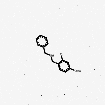 CC(C)COc1ccc(CNCc2ccccc2)c(Cl)c1